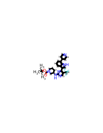 CC(C)(C)OC(=O)N1CCC[C@H](Nc2ncc(C(F)(F)F)c(-c3c[nH]c4c(-c5ccncc5)cccc34)n2)C1